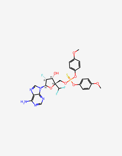 COc1ccc(OP(=S)(OC[C@@]2(C(F)F)O[C@@H](n3cnc4c(N)ncnc43)[C@H](F)[C@@H]2O)Oc2ccc(OC)cc2)cc1